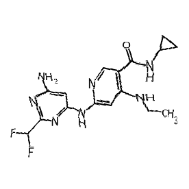 CCNc1cc(Nc2cc(N)nc(C(F)F)n2)ncc1C(=O)NC1CC1